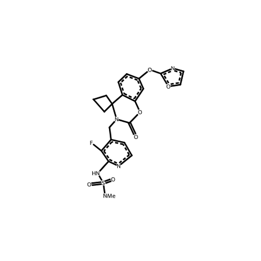 CNS(=O)(=O)Nc1nccc(CN2C(=O)Oc3cc(Oc4ncco4)ccc3C23CCC3)c1F